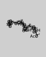 CC(=O)OC(C)C=CC(=O)N[C@@H]1C[C@H](C)[C@H](CC=C(C)C=C[C@H]2O[C@H](CC(=O)NN=C(C)c3ccc(OCCCC(=O)ON4C(=O)CCC4=O)cc3)C[C@@]3(CO3)[C@@H]2O)O[C@@H]1C